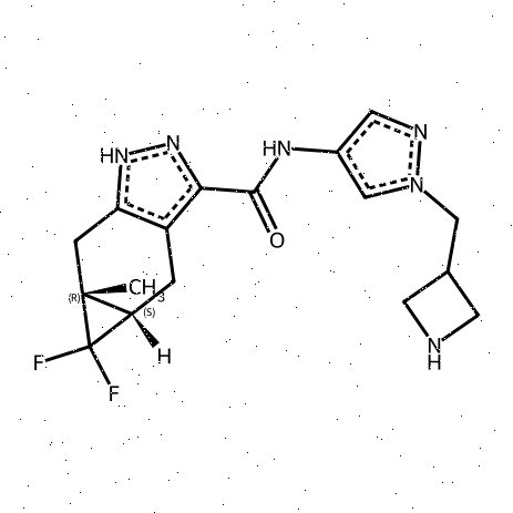 C[C@@]12Cc3[nH]nc(C(=O)Nc4cnn(CC5CNC5)c4)c3C[C@@H]1C2(F)F